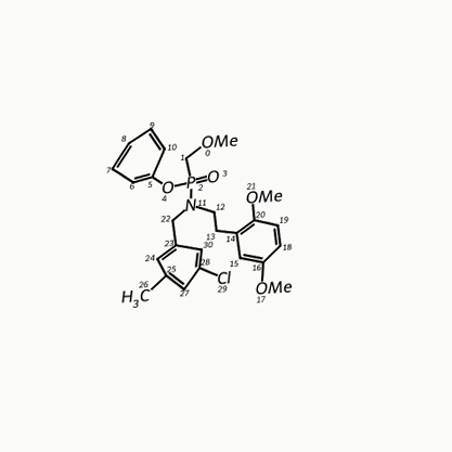 COCP(=O)(Oc1ccccc1)N(CCc1cc(OC)ccc1OC)Cc1cc(C)cc(Cl)c1